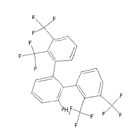 FC(F)(F)c1cccc(-c2cccc(P)c2-c2cccc(C(F)(F)F)c2C(F)(F)F)c1C(F)(F)F